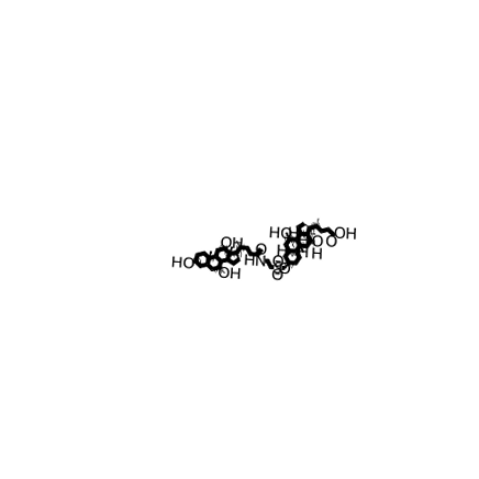 C[C@H](CCC(=O)NCCS(=O)(=O)O[C@@H]1CC[C@@]2(C)[C@@H](C1)C[C@@H](O)[C@@H]1[C@@H]2C[C@H](O)[C@]2(C)[C@@H]([C@H](C)CCC(=O)O)CC[C@@H]12)[C@H]1CCC2C3C(C[C@H](O)[C@@]21C)[C@@]1(C)CC[C@@H](O)CC1C[C@H]3O